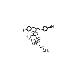 COCCCS(=O)(=O)NC(=O)c1nc(N(CCc2ccc(C#N)cc2)Cc2ccc(F)cc2)oc1C